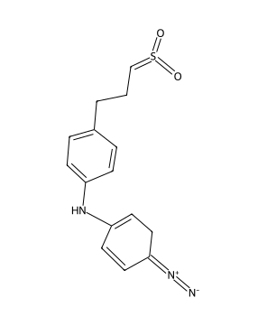 [N-]=[N+]=C1C=CC(Nc2ccc(CCC=S(=O)=O)cc2)=CC1